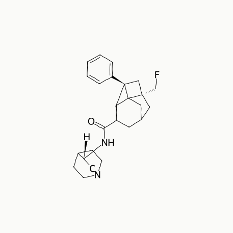 O=C(N[C@@H]1CN2CCC1CC2)C12CC3CC4(C1)[C@](CF)(C3)C[C@@]4(c1ccccc1)C2